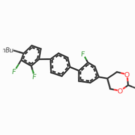 CCCCc1ccc(-c2ccc(-c3ccc(C4COC(CCC)OC4)cc3F)cc2)c(F)c1F